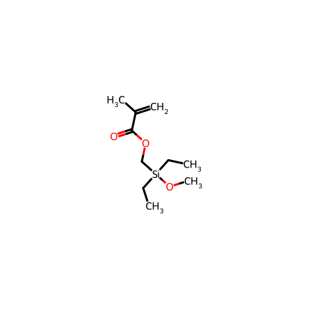 C=C(C)C(=O)OC[Si](CC)(CC)OC